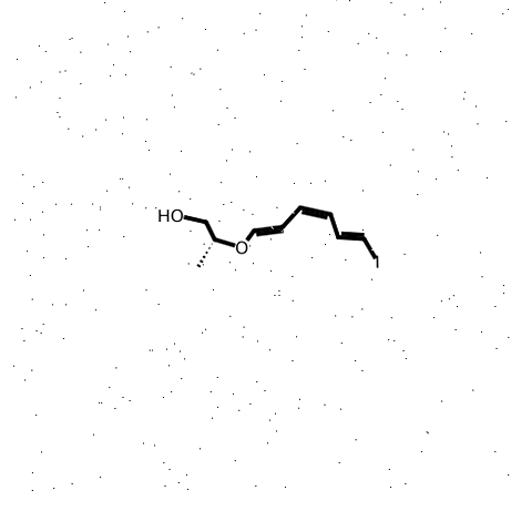 C[C@H](CO)O/C=C/C=C\C=C\I